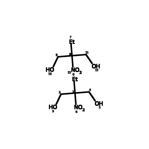 CCC(CO)(CO)[N+](=O)[O-].CCC(CO)(CO)[N+](=O)[O-]